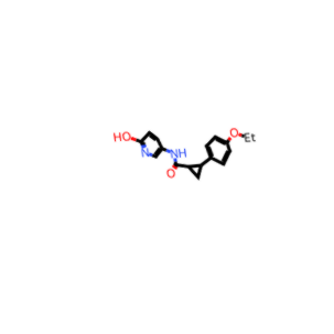 CCOc1ccc(C2CC2C(=O)Nc2ccc(O)nc2)cc1